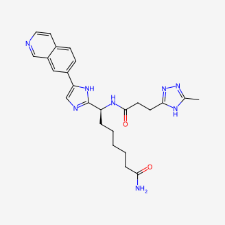 Cc1nnc(CCC(=O)N[C@@H](CCCCCC(N)=O)c2ncc(-c3ccc4ccncc4c3)[nH]2)[nH]1